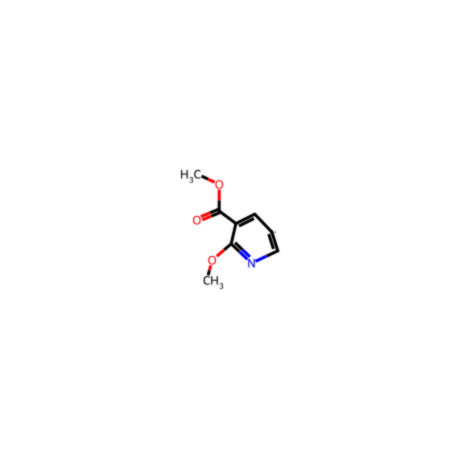 COC(=O)c1c[c]cnc1OC